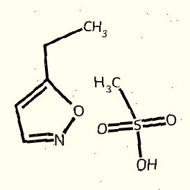 CCc1ccno1.CS(=O)(=O)O